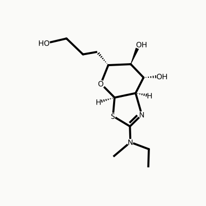 CCN(C)C1=N[C@@H]2[C@@H](O)[C@H](O)[C@@H](CCCO)O[C@@H]2S1